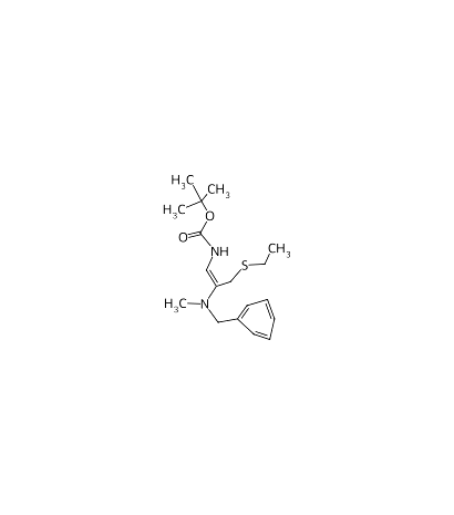 CCSC/C(=C\NC(=O)OC(C)(C)C)N(C)Cc1ccccc1